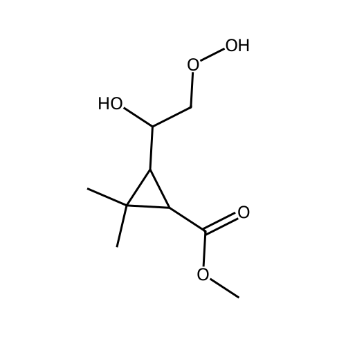 COC(=O)C1C(C(O)COO)C1(C)C